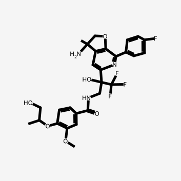 COc1cc(C(=O)NCC(O)(c2cc3c(c(-c4ccc(F)cc4)n2)OCC3(C)N)C(F)(F)F)ccc1OC(C)CO